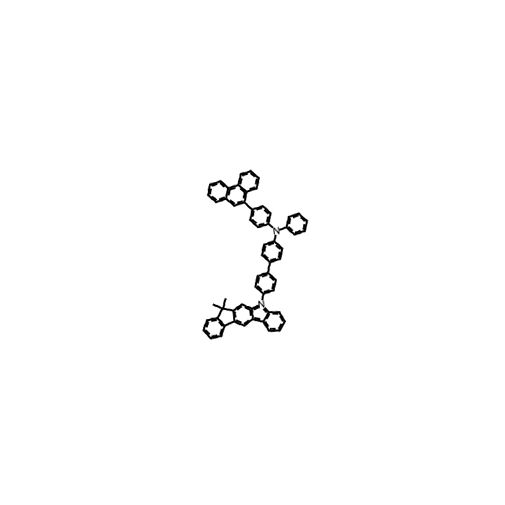 CC1(C)c2ccccc2-c2cc3c4ccccc4n(-c4ccc(-c5ccc(N(c6ccccc6)c6ccc(-c7cc8ccccc8c8ccccc78)cc6)cc5)cc4)c3cc21